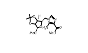 COC(=O)c1ncn(C[C@H]2O[C@@H](OC)C3OC(C)(C)O[C@H]32)c1N